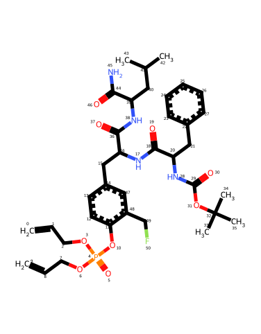 C=CCOP(=O)(OCC=C)Oc1ccc(CC(NC(=O)C(Cc2ccccc2)NC(=O)OC(C)(C)C)C(=O)NC(CC(C)C)C(N)=O)cc1CF